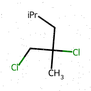 CC(C)CC(C)(Cl)CCl